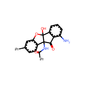 CC(C)C(=O)NC12C(=O)c3c(N)cccc3C1(O)Oc1cc(C(C)C)ccc12